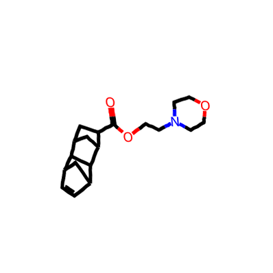 O=C(OCCN1CCOCC1)C1CC2CC1C1C3C=CC(C3)C21